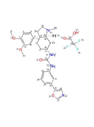 COc1ccc([C@@]23CC[C@@H](NC(=O)Nc4cccc(-c5cnco5)c4)C[C@@H]2N(C)CC3)cc1OC.O=C(O)C(F)(F)F